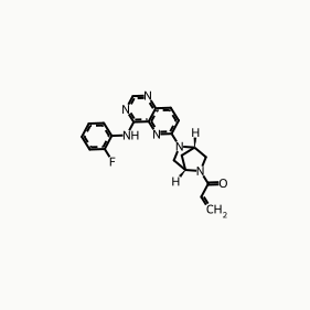 C=CC(=O)N1C[C@@H]2C[C@H]1CN2c1ccc2ncnc(Nc3ccccc3F)c2n1